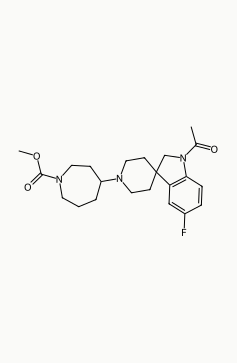 COC(=O)N1CCCC(N2CCC3(CC2)CN(C(C)=O)c2ccc(F)cc23)CC1